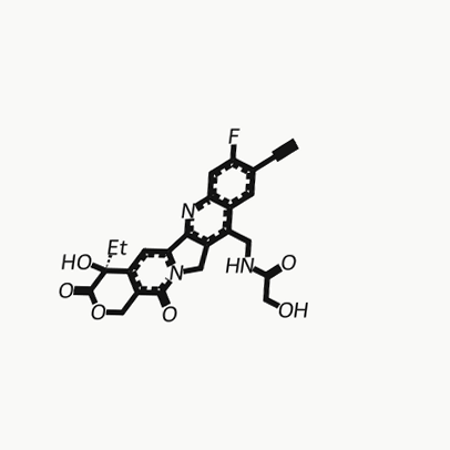 C#Cc1cc2c(CNC(=O)CO)c3c(nc2cc1F)-c1cc2c(c(=O)n1C3)COC(=O)[C@]2(O)CC